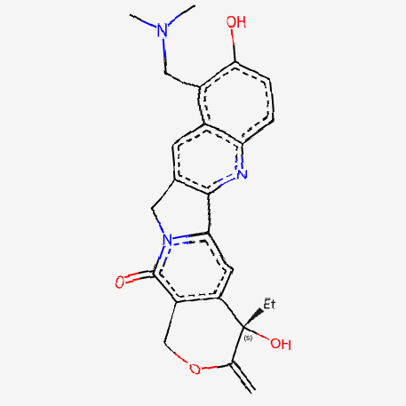 C=C1OCc2c(cc3n(c2=O)Cc2cc4c(CN(C)C)c(O)ccc4nc2-3)[C@@]1(O)CC